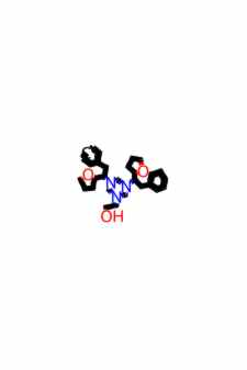 OCCN1CN(C(Cc2ccccc2)C2CCCO2)CN(C(Cc2ccccc2)C2CCCO2)C1